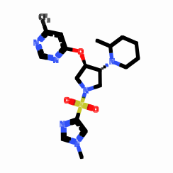 CC1CCCCN1[C@@H]1CN(S(=O)(=O)c2cn(C)cn2)C[C@H]1Oc1cc(C(F)(F)F)ncn1